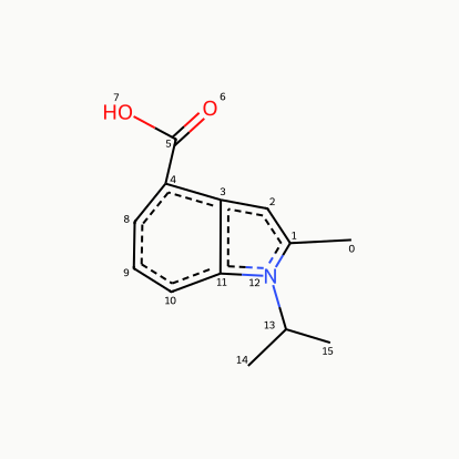 Cc1cc2c(C(=O)O)cccc2n1C(C)C